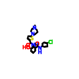 CN1CCCN(c2ccc(C(=O)Nc3c(O)cccc3C(=O)Nc3ccc(Cl)cc3)s2)CC1